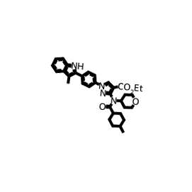 CCOC(=O)c1cn(-c2ccc(-c3[nH]c4ccccc4c3C)cc2)nc1N(C(=O)C1CCC(C)CC1)C1CCOCC1